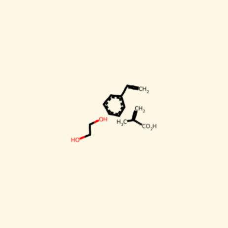 C=C(C)C(=O)O.C=Cc1ccccc1.OCCO